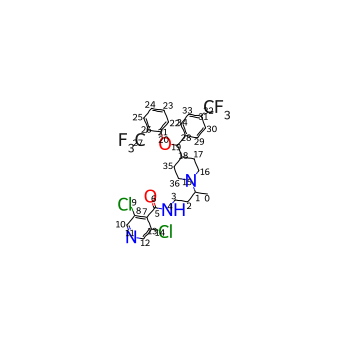 CC(CCNC(=O)c1c(Cl)cncc1Cl)N1CCC(C(Oc2ccccc2C(F)(F)F)c2ccc(C(F)(F)F)cc2)CC1